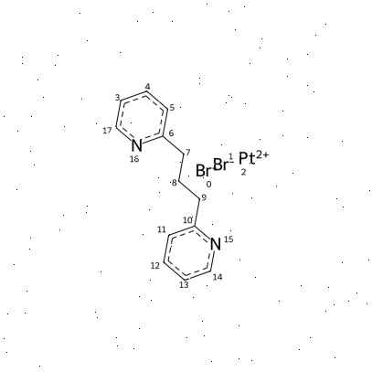 [Br-].[Br-].[Pt+2].c1ccc(CCCc2ccccn2)nc1